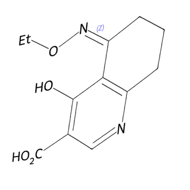 CCO/N=C1/CCCc2ncc(C(=O)O)c(O)c21